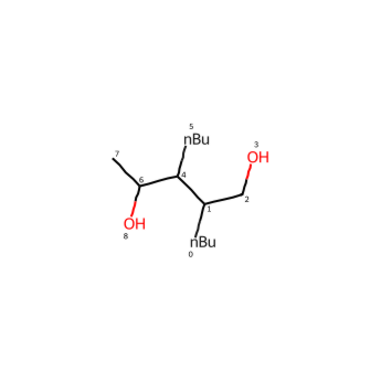 CCCCC(CO)C(CCCC)C(C)O